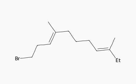 CCC(C)=CCCCC(C)=CCCBr